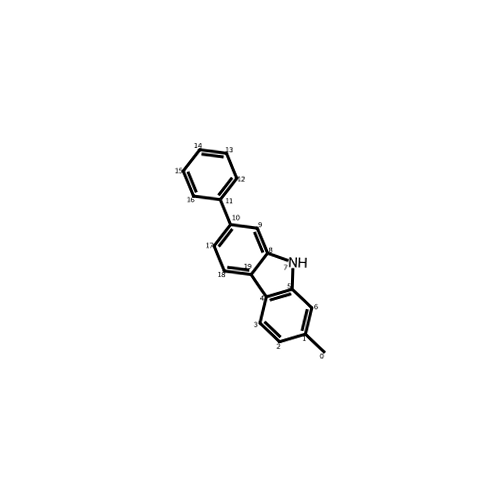 Cc1ccc2c(c1)[nH]c1cc(-c3ccccc3)ccc12